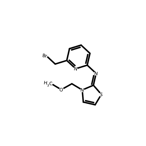 COCn1ccsc1=Nc1cccc(CBr)n1